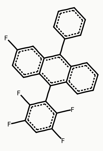 Fc1ccc2c(-c3c(F)c(F)cc(F)c3F)c3ccccc3c(-c3ccccc3)c2c1